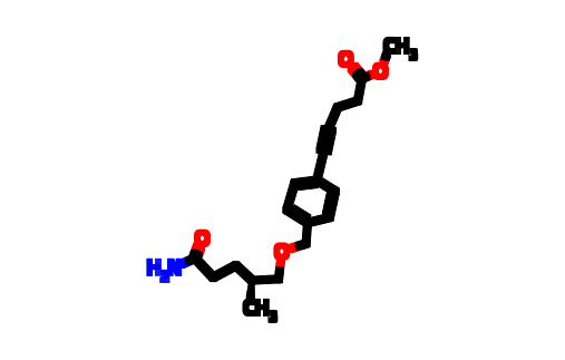 COC(=O)CCC#Cc1ccc(COC[C@@H](C)CCC(N)=O)cc1